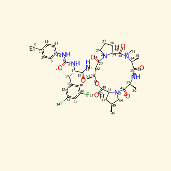 CCc1ccc(NC(=O)N[C@@H](Cc2cc(F)cc(F)c2)C(=O)N[C@@H]2C(=O)N3CCC[C@H]3C(=O)N(C)[C@@H](C)C(=O)N[C@@H](C)C(=O)N3C[C@@H](C)C[C@H]3C(=O)O[C@H]2C)cc1